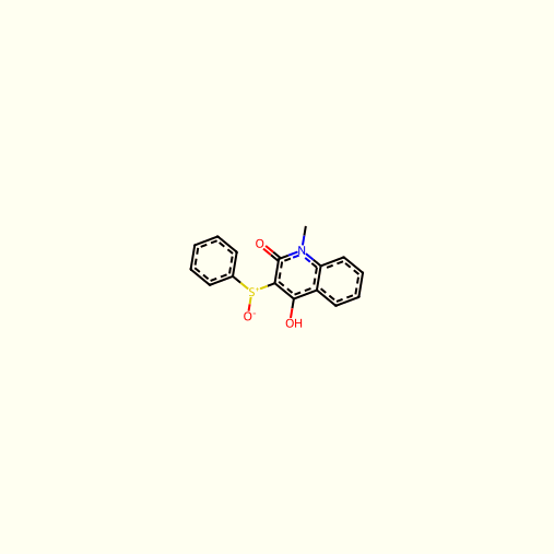 Cn1c(=O)c([S+]([O-])c2ccccc2)c(O)c2ccccc21